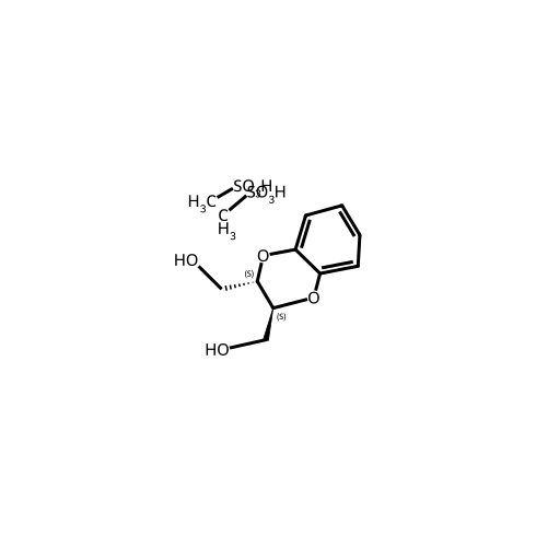 CS(=O)(=O)O.CS(=O)(=O)O.OC[C@@H]1Oc2ccccc2O[C@H]1CO